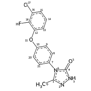 Cc1n[nH]c(=O)n1-c1ccc(Oc2cccc(Cl)c2F)cc1